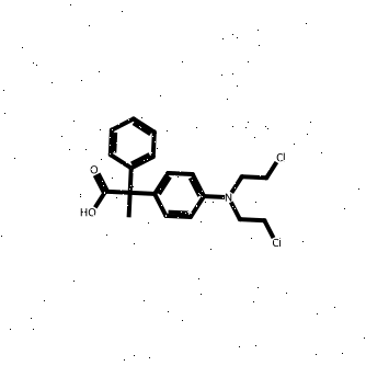 CC(C(=O)O)(c1ccccc1)c1ccc(N(CCCl)CCCl)cc1